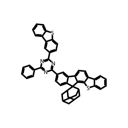 c1ccc(-c2nc(-c3ccc4c(c3)-c3ccc5c(sc6ccccc65)c3C43C4CC5CC(C4)CC3C5)nc(-c3ccc4sc5ccccc5c4c3)n2)cc1